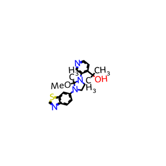 COC1(C)N(c2ccc3ncsc3c2)CCN1c1cnccc1C(C)(C)O